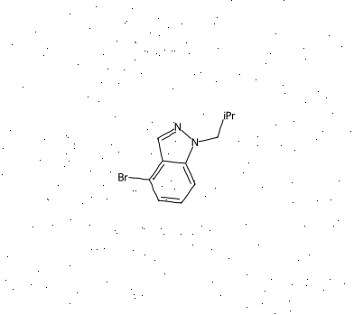 CC(C)Cn1ncc2c(Br)cccc21